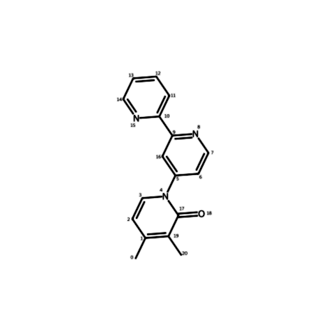 Cc1ccn(-c2ccnc(-c3ccccn3)c2)c(=O)c1C